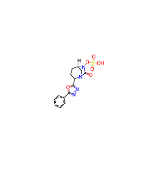 O=C1N2C[C@@H](CCC2c2nnc(-c3ccccc3)o2)N1OS(=O)(=O)O